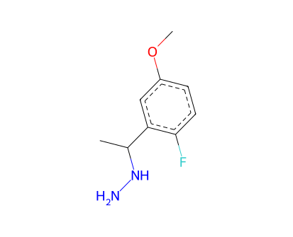 COc1ccc(F)c(C(C)NN)c1